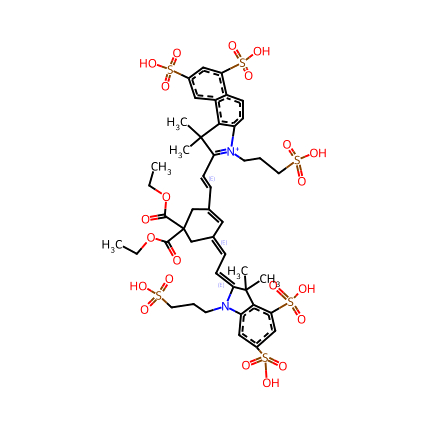 CCOC(=O)C1(C(=O)OCC)CC(/C=C/C2=[N+](CCCS(=O)(=O)O)c3ccc4c(S(=O)(=O)O)cc(S(=O)(=O)O)cc4c3C2(C)C)=CC(=C/C=C2/N(CCCS(=O)(=O)O)c3cc(S(=O)(=O)O)cc(S(=O)(=O)O)c3C2(C)C)/C1